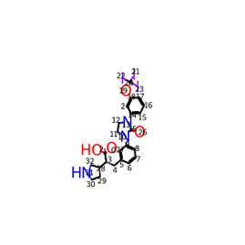 O=C(O)[C@@H](Cc1cccc(N2CCN(c3cccc(OC(I)(I)I)c3)C2=O)c1)[C@H]1CCNC1